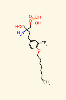 C=CCCCCCCOc1ccc(CCC(N)(CO)COP(=O)(O)O)cc1C(F)(F)F